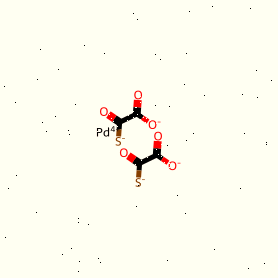 O=C([O-])C(=O)[S-].O=C([O-])C(=O)[S-].[Pd+4]